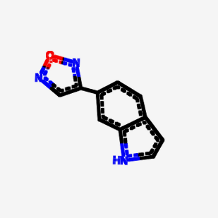 c1cc2ccc(-c3cnon3)cc2[nH]1